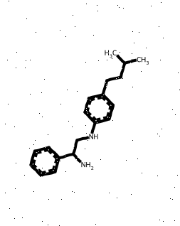 CC(C)CCc1ccc(NCC(N)c2ccccc2)cc1